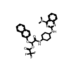 CN(C)c1nc(NC2CCC(NC(=O)C(OC(=O)C(F)(F)F)Oc3ccc4ccccc4c3)CC2)nc2ccccc12